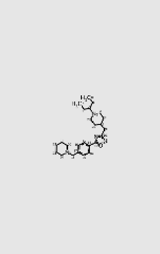 CCC(CC)N1CCC(Cc2noc(-c3ccc(CN4CCCCC4)cc3)n2)CC1